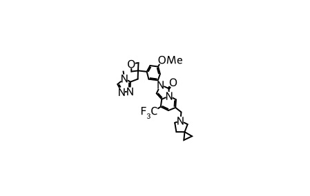 COc1cc(-n2cc3c(C(F)(F)F)cc(CN4CCC5(CC5)C4)cn3c2=O)cc(C2(Cc3nncn3C)COC2)c1